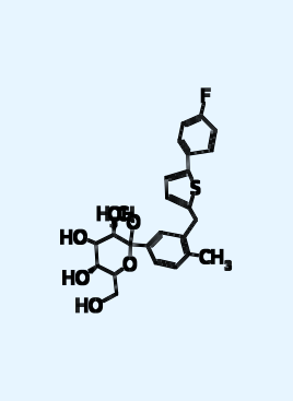 COC1(c2ccc(C)c(Cc3ccc(-c4ccc(F)cc4)s3)c2)OC(CO)[C@@H](O)C(O)[C@H]1O